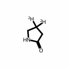 [2H]C1([2H])CNC(=O)C1